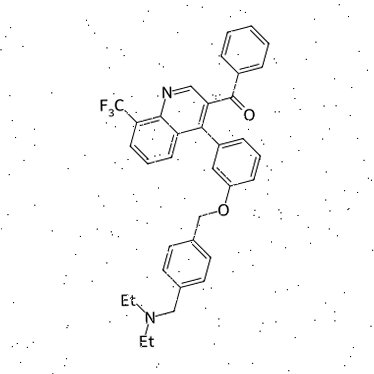 CCN(CC)Cc1ccc(COc2cccc(-c3c(C(=O)c4ccccc4)cnc4c(C(F)(F)F)cccc34)c2)cc1